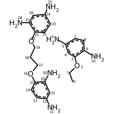 CCOc1cc(N)ccc1N.Nc1ccc(OCCCOc2ccc(N)cc2N)c(N)c1